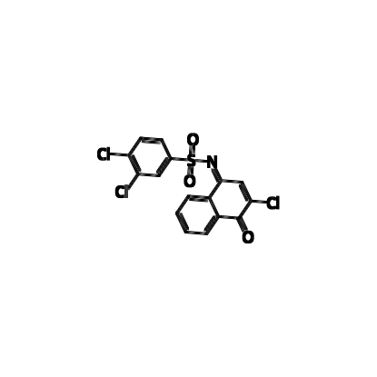 O=C1C(Cl)=C/C(=N/S(=O)(=O)c2ccc(Cl)c(Cl)c2)c2ccccc21